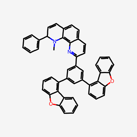 CN1c2c(ccc3ccc(-c4cc(-c5cccc6oc7ccccc7c56)cc(-c5cccc6oc7ccccc7c56)c4)nc23)C=CC1c1ccccc1